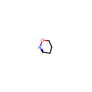 [C]1CC=NOC1